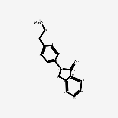 COCCc1ccc(N2Cc3ccccc3C2=O)cc1